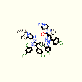 Cc1c(C(=O)NC2CCNCC2)nn(-c2ccc(Cl)cc2Cl)c1-c1ccc(Cl)cc1.Cc1c(NC2CCN(C(=O)O)C(C(C)(C)C)C2)nn(-c2ccc(Cl)cc2Cl)c1-c1ccc(Cl)cc1